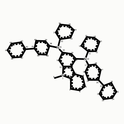 Cn1c2ccccc2c2c(N(c3ccccc3)c3ccc(-c4ccccc4)cc3)cc(N(c3ccccc3)c3ccc(-c4ccccc4)cc3)cc21